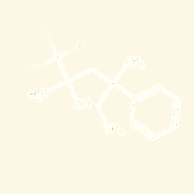 [CH2]C(O)(CC(C)(CC)c1ccccc1)C(F)(F)F